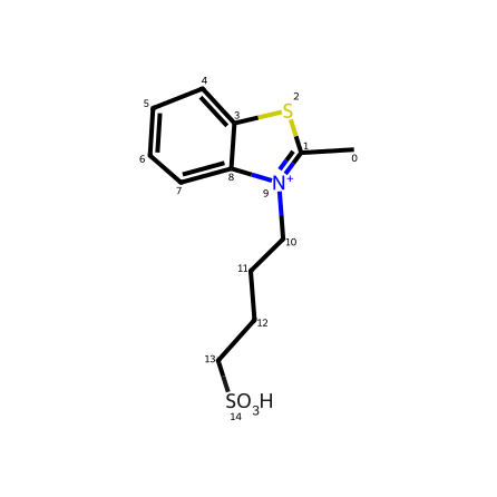 Cc1sc2ccccc2[n+]1CCCCS(=O)(=O)O